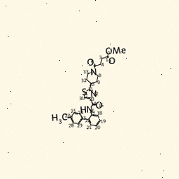 COC(=O)CCC(=O)N1CCC(c2nc(C(=O)Nc3ccccc3-c3ccc(C)cc3)cs2)CC1